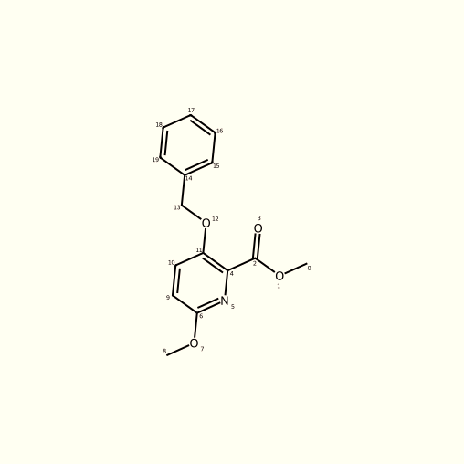 COC(=O)c1nc(OC)ccc1OCc1ccccc1